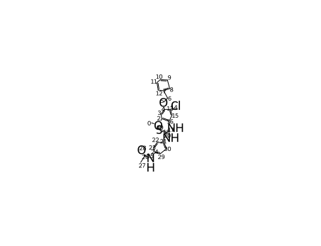 COc1cc(OCc2ccccc2)c(Cl)cc1NC(=S)Nc1ccc(NC(C)=O)cc1